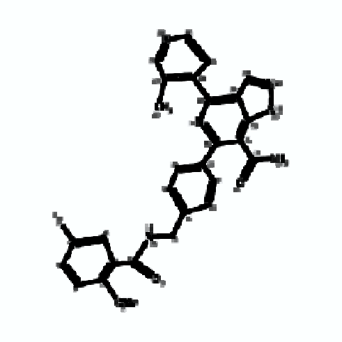 COc1ccc(F)cc1C(=O)NCc1ccc(-c2nc(-c3ccncc3C)c3cn[nH]c3c2C(N)=O)cc1